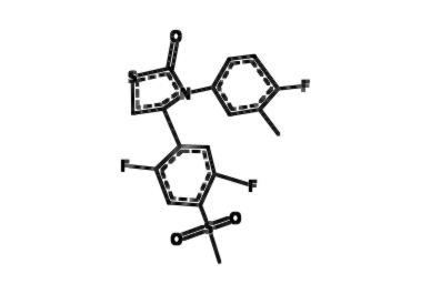 Cc1cc(-n2c(-c3cc(F)c(S(C)(=O)=O)cc3F)csc2=O)ccc1F